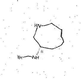 CC(C)N[C@H]1CCCCNC1